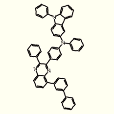 c1ccc(-c2cccc(-c3cccc4nc(-c5ccccc5)c(-c5ccc(N(c6ccccc6)c6ccc7c(c6)c6ccccc6n7-c6ccccc6)cc5)nc34)c2)cc1